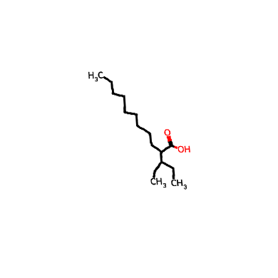 CCCCCCCCCC(C(=O)O)C(CC)CC